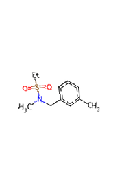 CCS(=O)(=O)N(C)Cc1cccc(C)c1